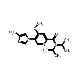 COc1cc(C(=O)N(C(C)C)C(C)C)ncc1-n1cnc(C)c1